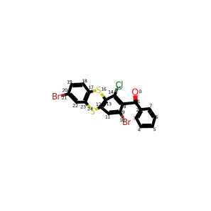 O=C(c1ccccc1)c1c(Br)cc2c(c1Cl)Sc1ccc(Br)cc1S2